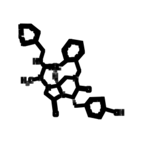 Cc1ccccc1CN1C[C@H]2N(C(=O)CN2N(C)C(=O)NCc2ccccc2)[C@@H](Cc2ccc(O)cc2)C1=O